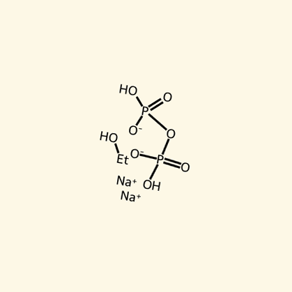 CCO.O=P([O-])(O)OP(=O)([O-])O.[Na+].[Na+]